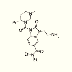 CCN(CC)C(=O)c1ccc2c(c1)n(CCN)c(=O)n2C(=O)N1CN(C)CC[C@H]1C(C)C